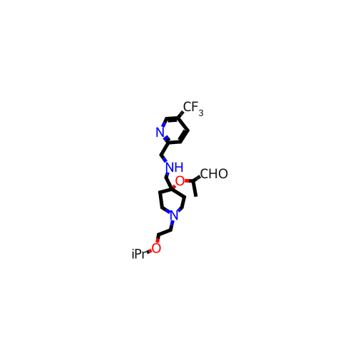 CC(C)OCCN1CCC(CNCc2ccc(C(F)(F)F)cn2)(OC(C)C=O)CC1